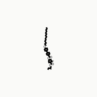 CCCCCCCCCCCCCCOc1ccc(-c2ccc(C(=O)Oc3ccc(C(=O)OC[C@@H](C)CC)c(F)c3)cc2)cc1